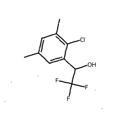 Cc1cc(C)c(Cl)c(C(O)C(F)(F)F)c1